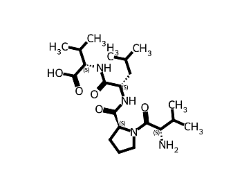 CC(C)C[C@H](NC(=O)[C@@H]1CCCN1C(=O)[C@@H](N)C(C)C)C(=O)N[C@H](C(=O)O)C(C)C